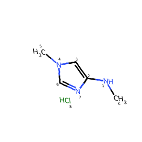 CNc1cn(C)cn1.Cl